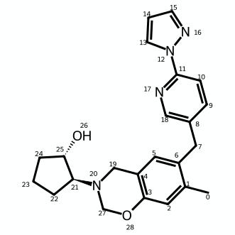 Cc1cc2c(cc1Cc1ccc(-n3cccn3)nc1)CN([C@H]1CCC[C@@H]1O)CO2